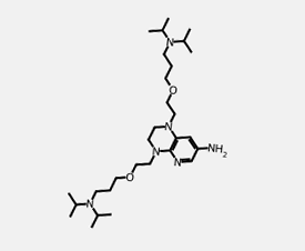 CC(C)N(CCCOCCN1CCN(CCOCCCN(C(C)C)C(C)C)c2ncc(N)cc21)C(C)C